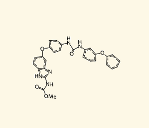 COC(=O)Nc1nc2cc(Oc3ccc(NC(=O)Nc4cccc(Oc5ccccc5)c4)cc3)ccc2[nH]1